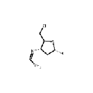 C/C=N\[C@H]1C[C@@H](I)SC1CCl